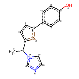 CC(c1ccc(-c2ccc(O)cc2)s1)n1ccnc1